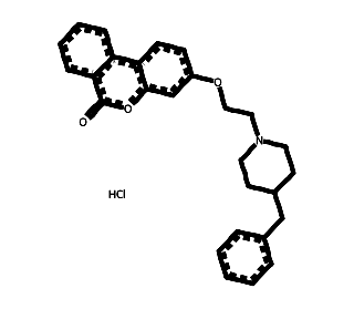 Cl.O=c1oc2cc(OCCN3CCC(Cc4ccccc4)CC3)ccc2c2ccccc12